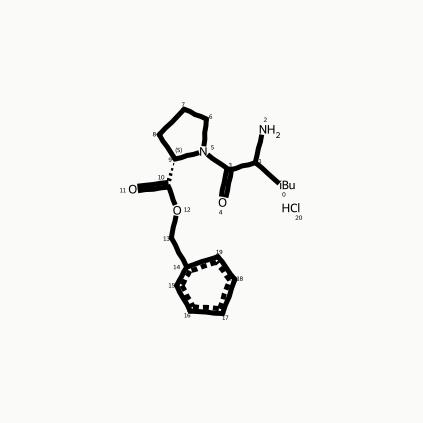 CCC(C)C(N)C(=O)N1CCC[C@H]1C(=O)OCc1ccccc1.Cl